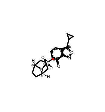 O=C(N[C@@H]1C[C@H]2CC[C@@H](C1)N2S(=O)(=O)c1ccc(Br)cc1)c1cc(C2CC2)on1